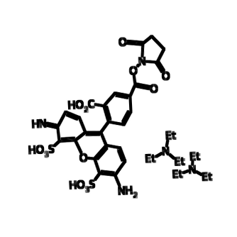 CCN(CC)CC.CCN(CC)CC.N=c1ccc2c(-c3ccc(C(=O)ON4C(=O)CCC4=O)cc3C(=O)O)c3ccc(N)c(S(=O)(=O)O)c3oc-2c1S(=O)(=O)O